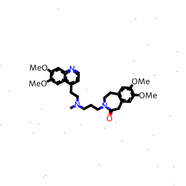 COc1cc2c(cc1OC)CC(=O)N(CCCN(C)CCc1ccnc3cc(OC)c(OC)cc13)CC2